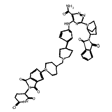 NC(=O)c1nnc(N2CC3CC(N4C(=O)c5ccccc5C4=O)C2C3)nc1Nc1ccc(C2CCN(CC3CCN(c4ccc5c(c4)C(=O)N(C4CCC(=O)NC4=O)C5=O)CC3)CC2)cc1